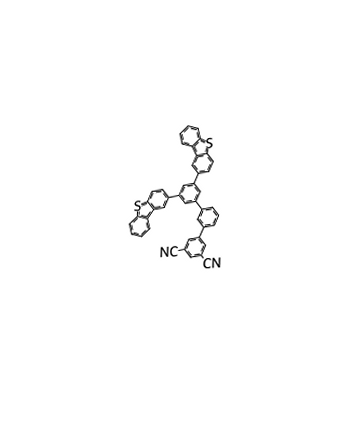 N#Cc1cc(C#N)cc(-c2cccc(-c3cc(-c4ccc5sc6ccccc6c5c4)cc(-c4ccc5sc6ccccc6c5c4)c3)c2)c1